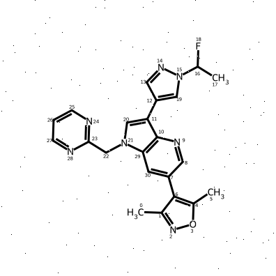 Cc1noc(C)c1-c1cnc2c(-c3cnn(C(C)F)c3)cn(Cc3ncccn3)c2c1